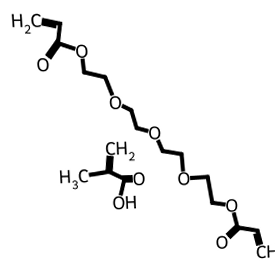 C=C(C)C(=O)O.C=CC(=O)OCCOCCOCCOCCOC(=O)C=C